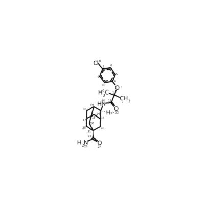 CC(C)(Oc1ccc(Cl)cc1)C(=O)N[C@H]1C2CC3CC1C[C@@](C(N)=O)(C3)C2